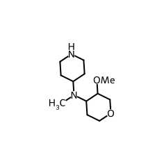 COC1COCCC1N(C)C1CCNCC1